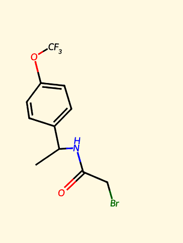 CC(NC(=O)CBr)c1ccc(OC(F)(F)F)cc1